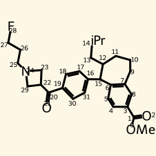 COC(=O)c1ccc2c(c1)CCCC(CC(C)C)C2c1ccc(C(=O)C2CN(CCCF)C2)cc1